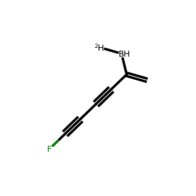 [2H]BC(=C)C#CC#CF